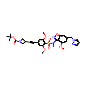 COc1cc(C#CC2CN(C(=O)OC(C)(C)C)C2)cc(OC)c1S(=O)(=O)Nc1noc2cc(Cn3cccn3)cc(OC)c12